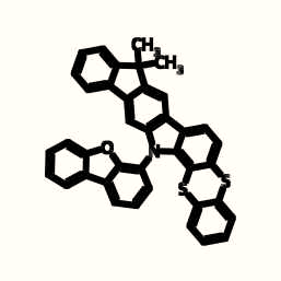 CC1(C)c2ccccc2-c2cc3c(cc21)c1ccc2c(c1n3-c1cccc3c1oc1ccccc13)Sc1ccccc1S2